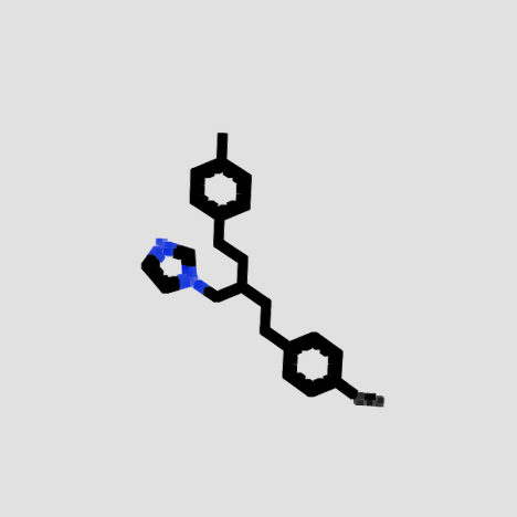 COc1ccc(CCC(CCc2ccc(C)cc2)Cn2ccnc2)cc1